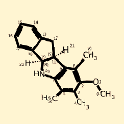 COc1c(C)c(C)c2c(c1C)[C@@H]1Cc3ccccc3[C@@H]1N2